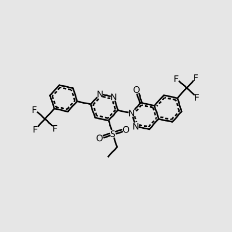 CCS(=O)(=O)c1cc(-c2cccc(C(F)(F)F)c2)nnc1-n1ncc2ccc(C(F)(F)F)cc2c1=O